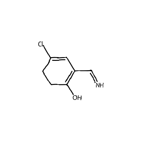 N=CC1=C(O)CCC(Cl)=C1